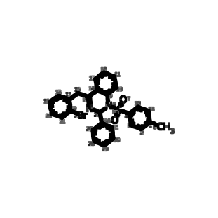 Cc1ccc(S(=O)(=O)N2c3ccccc3C(Cc3ccccc3Br)=NC2c2ccccc2)cc1